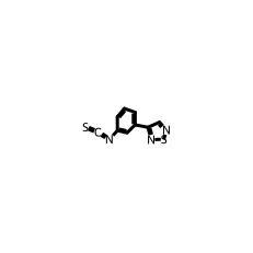 S=C=Nc1cccc(-c2cnsn2)c1